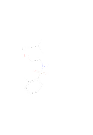 CC(C)C[C@@H](CO)NS(=O)(=O)c1ccccc1F